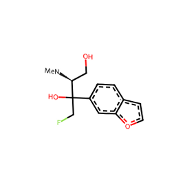 CN[C@@H](CO)C(O)(CF)c1ccc2ccoc2c1